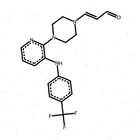 O=CC=CN1CCN(c2ncccc2Nc2ccc(C(F)(F)F)cc2)CC1